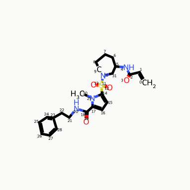 C=CC(=O)NC1CCCCN(S(=O)(=O)c2ccc(C(=O)NCCc3ccccc3)n2C)C1